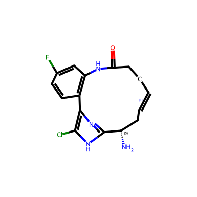 N[C@H]1C/C=C/CCC(=O)Nc2cc(F)ccc2-c2nc1[nH]c2Cl